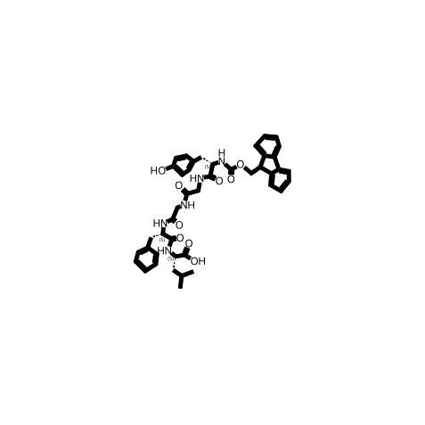 CC(C)C[C@H](NC(=O)[C@H](Cc1ccccc1)NC(=O)CNC(=O)CNC(=O)[C@H](Cc1ccc(O)cc1)NC(=O)OCC1c2ccccc2-c2ccccc21)C(=O)O